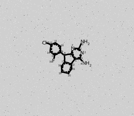 Nc1nc(N)c2c(n1)C(c1ccc(Cl)cc1F)c1ccccc1-2